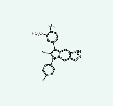 CC(C)c1c(-c2ccc(C(F)(F)F)c(C(=O)O)c2)c2cc3[nH]ncc3cc2n1-c1ccc(F)cc1